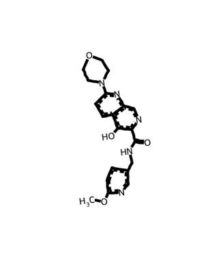 COc1ccc(CNC(=O)c2ncc3nc(N4CCOCC4)ccc3c2O)cn1